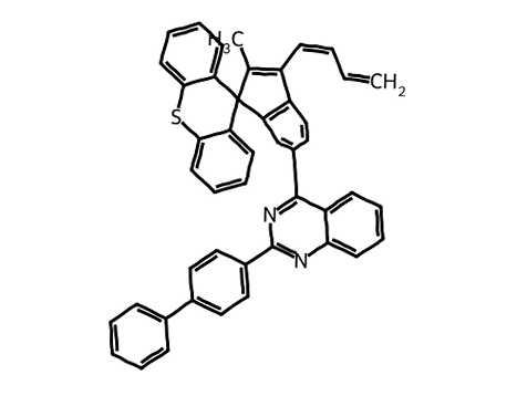 C=C/C=C\C1=C(C)C2(c3ccccc3Sc3ccccc32)c2cc(-c3nc(-c4ccc(-c5ccccc5)cc4)nc4ccccc34)ccc21